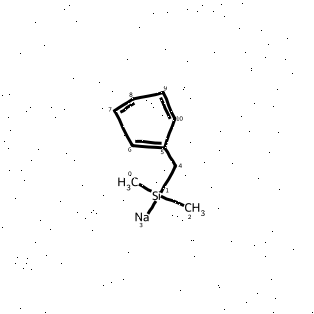 C[Si](C)([Na])Cc1ccccc1